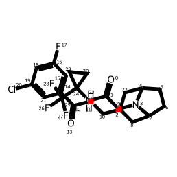 O=C(CN1C2CCC1CC(CNC(=O)c1cc(F)cc(Cl)c1)C2)NC1(C(F)(F)F)CC1